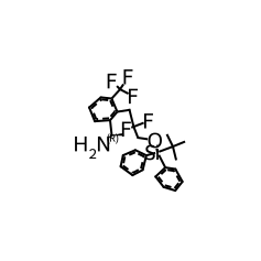 C[C@@H](N)c1cccc(C(F)(F)F)c1CC(F)(F)CO[Si](c1ccccc1)(c1ccccc1)C(C)(C)C